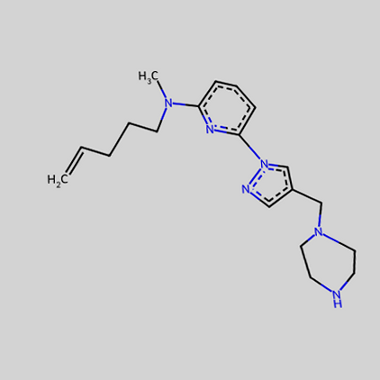 C=CCCCN(C)c1cccc(-n2cc(CN3CCNCC3)cn2)n1